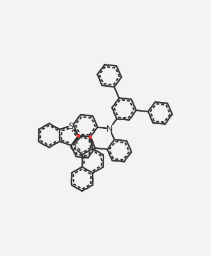 c1ccc(-c2cc(-c3ccccc3)cc(N(c3ccccc3-c3ccc4c(c3)sc3ccccc34)c3cccc4oc5c6ccccc6ccc5c34)c2)cc1